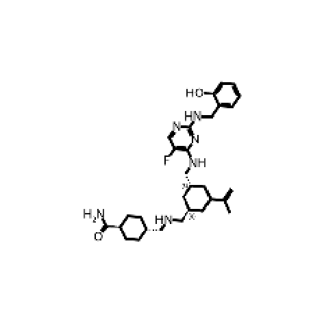 C=C(C)C1C[C@@H](CNC[C@H]2CC[C@H](C(N)=O)CC2)C[C@H](CNc2nc(NCc3ccccc3O)ncc2F)C1